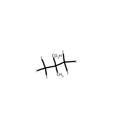 CC(C(=O)O)(C(I)(I)I)C(I)(I)I